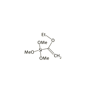 C=C(OCC)[Si](OC)(OC)OC